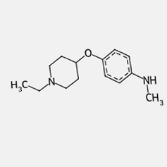 CCN1CCC(Oc2ccc(NC)cc2)CC1